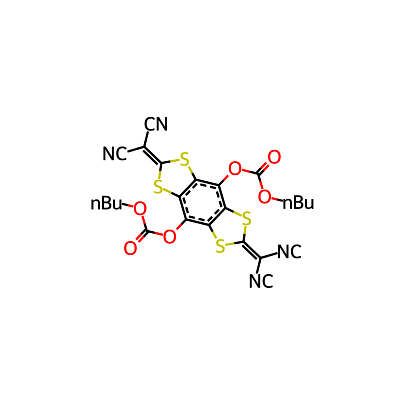 [C-]#[N+]C([N+]#[C-])=C1Sc2c(OC(=O)OCCCC)c3c(c(OC(=O)OCCCC)c2S1)SC(=C(C#N)C#N)S3